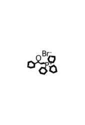 O=C(C=C[P+](c1ccccc1)(c1ccccc1)c1ccccc1)c1ccccc1.[Br-]